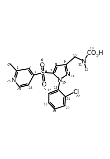 Cc1cc(S(=O)(=O)c2cc(CN(C)C(=O)O)nn2-c2ccccc2Cl)ccn1